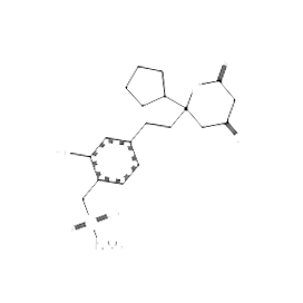 CCc1cc(CCC2(C3CCCC3)CC(=O)CC(=O)O2)ccc1CS(=O)(=O)NC